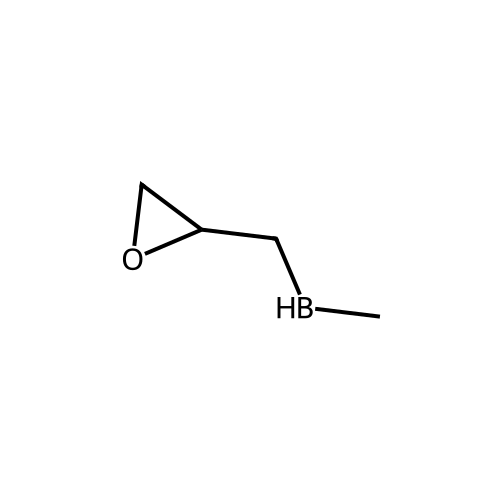 CBCC1CO1